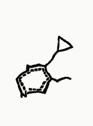 Cc1cnccc1C1CC1